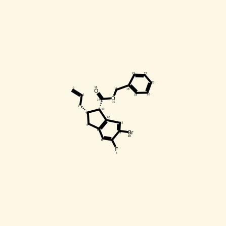 C=CC[C@H]1Cc2cc(F)c(Br)cc2[C@H]1C(=O)OCc1ccccc1